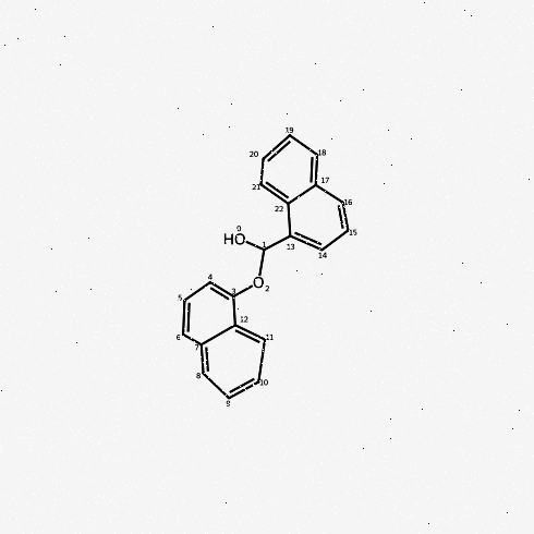 OC(Oc1cccc2ccccc12)c1cccc2ccccc12